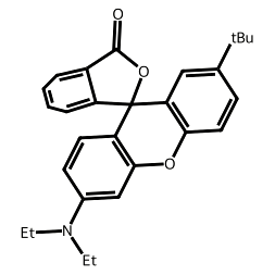 CCN(CC)c1ccc2c(c1)Oc1ccc(C(C)(C)C)cc1C21OC(=O)c2ccccc21